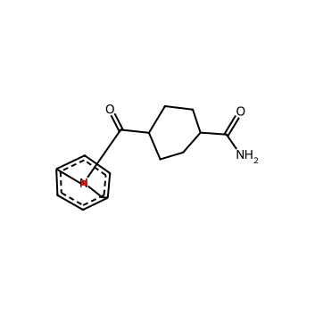 NC(=O)C1CCC(C(=O)N2Cc3ccc(cc3)C2)CC1